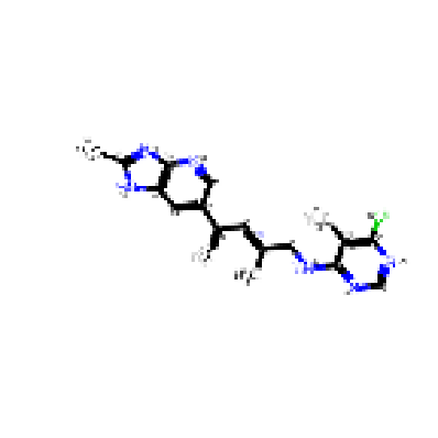 C=C(/C=C(\C)CNc1ncnc(Cl)c1C)c1cnc2nc(C)[nH]c2c1